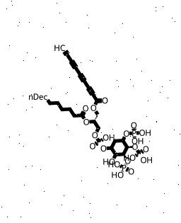 C#CC#CC#CC#CC(=O)OC[C@H](COP(=O)(O)OC1CC(OP(=O)(O)O)[C@@H](OP(=O)(O)O)[C@@H](OP(=O)(O)O)C1O)OC(=O)CCCCCCCCCCCCCCC